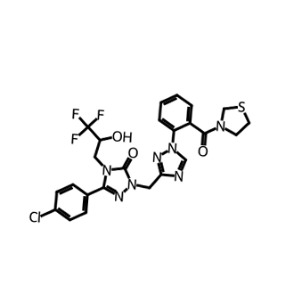 O=C(c1ccccc1-n1cnc(Cn2nc(-c3ccc(Cl)cc3)n(CC(O)C(F)(F)F)c2=O)n1)N1CCSC1